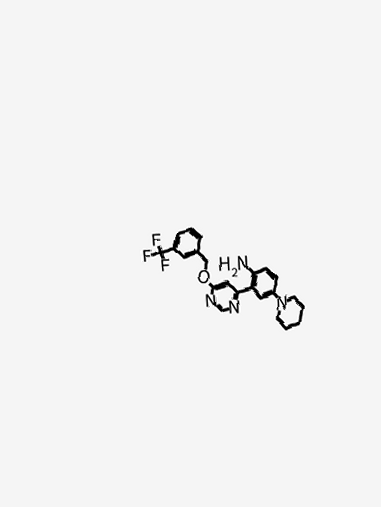 Nc1ccc(N2CCCCC2)cc1-c1cc(OCc2cccc(C(F)(F)F)c2)ncn1